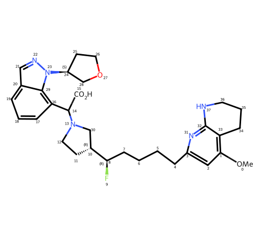 COc1cc(CCCC[C@@H](F)[C@@H]2CCN(C(C(=O)O)c3cccc4cnn([C@H]5CCOC5)c34)C2)nc2c1CCCN2